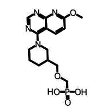 COc1ccc2c(N3CCCC(COCP(=O)(O)O)C3)ncnc2n1